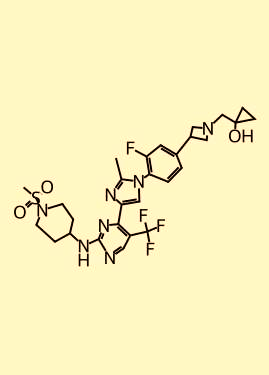 Cc1nc(-c2nc(NC3CCN(S(C)(=O)=O)CC3)ncc2C(F)(F)F)cn1-c1ccc(C2CN(CC3(O)CC3)C2)cc1F